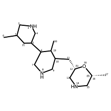 CC1CNCC(C2CNCC(C[C@H]3CNC[C@@H](C)O3)C2C)C1